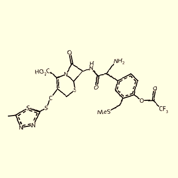 CSCc1cc(C(N)C(=O)NC2C(=O)N3C(C(=O)O)=C(CSc4nnc(C)s4)CSC23)ccc1OC(=O)C(F)(F)F